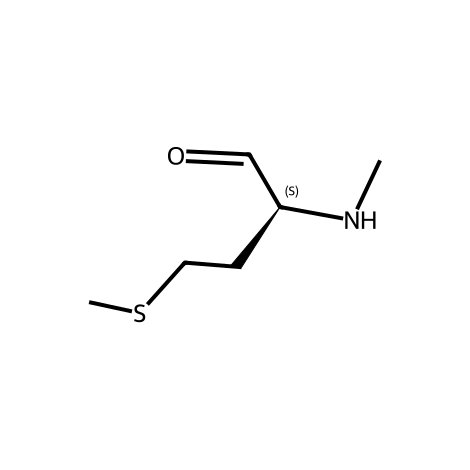 CN[C@H](C=O)CCSC